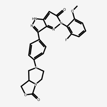 COc1cccc(F)c1-n1nc2c(-c3ccc(N4CCN5C(=O)OCC5C4)cc3)n[nH]c2cc1=O